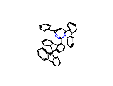 c1ccc(-c2cc(-c3ccccc3-c3ccccc3)nc(-c3cccc4c3-c3ccccc3C43c4ccccc4-c4ccccc43)n2)cc1